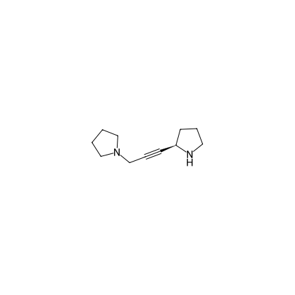 C(#C[C@H]1CCCN1)CN1CCCC1